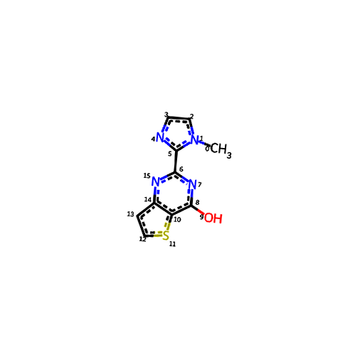 Cn1ccnc1-c1nc(O)c2sccc2n1